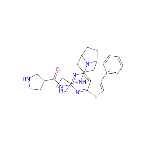 O=C(Nc1nc(N2C3CCC2CC(NC2CCC2)C3)c2c(-c3ccccc3)csc2n1)C1CCNC1